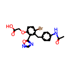 CC(=O)Nc1ccc(Cc2c(Br)ccc(OCC(=O)O)c2-c2ncno2)cc1